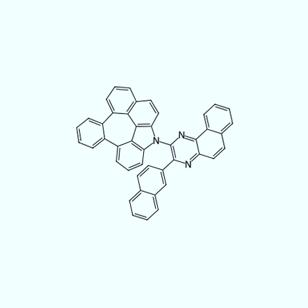 c1ccc2c(c1)-c1cccc3ccc4c(c13)c1c-2cccc1n4-c1nc2c(ccc3ccccc32)nc1-c1ccc2ccccc2c1